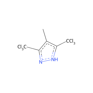 Cc1c(C(Cl)(Cl)Cl)n[nH]c1C(Cl)(Cl)Cl